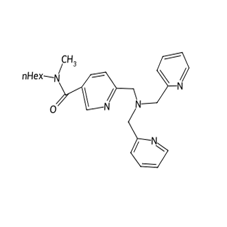 CCCCCCN(C)C(=O)c1ccc(CN(Cc2ccccn2)Cc2ccccn2)nc1